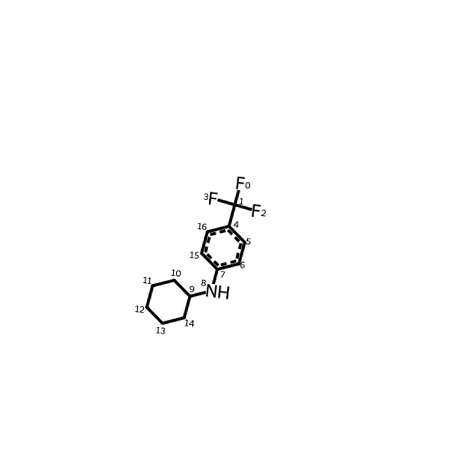 FC(F)(F)c1ccc(NC2CCCCC2)cc1